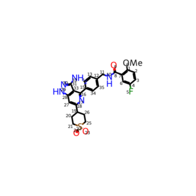 COc1ccc(F)cc1C(=O)NCc1ccc(-c2nc(C3CCS(=O)(=O)CC3)cc3[nH]nc(N)c23)cc1